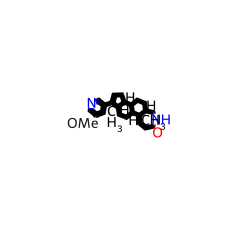 COc1cncc(C2=CC[C@H]3[C@@H]4CC[C@H]5CNC(=O)CC[C@]5(C)[C@H]4CC[C@]23C)c1